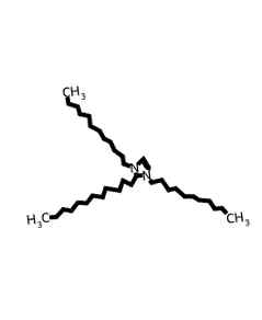 CCCCCCCCCCCCC1N(CCCCCCCCCCC)C=CN1CCCCCCCCCCCC